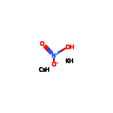 O=[N+]([O-])O.[CsH].[KH]